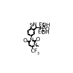 CCC(CC)(c1nsc2ccc(-n3c(=O)cc(C(F)(F)F)n(C)c3=O)cc12)P(=O)(O)O